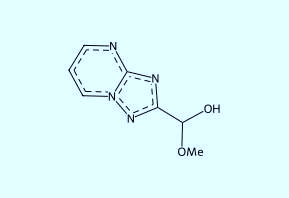 COC(O)c1nc2ncccn2n1